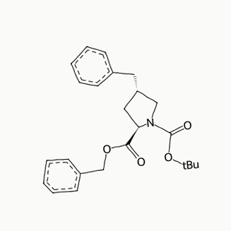 CC(C)(C)OC(=O)N1C[C@@H](Cc2ccccc2)C[C@@H]1C(=O)OCc1ccccc1